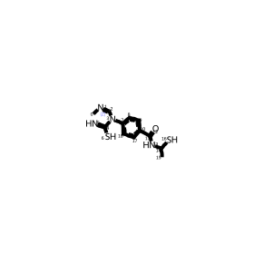 C/N=C\N(C(=N)S)c1ccc(C(=O)NC(C)S)cc1